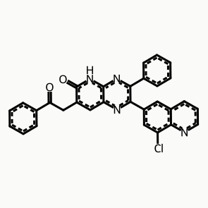 O=C(Cc1cc2nc(-c3cc(Cl)c4ncccc4c3)c(-c3ccccc3)nc2[nH]c1=O)c1ccccc1